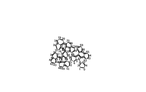 c1ccc(C2c3ccc(-c4cc(N(c5cccc6ccccc56)c5cccc6ccccc56)cc(N(c5cccc6ccccc56)c5cccc6ccccc56)c4)cc3-c3c2c2ccccc2c2ccccc32)cc1